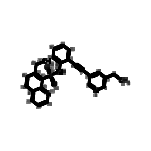 CCc1cncc(C#Cc2ccccc2NS(=O)(=O)c2c(CC)ccc3cccnc23)c1